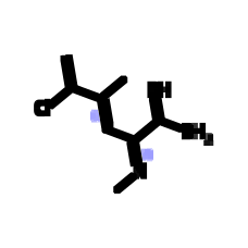 B=C(B)C(/C=C(\C)C(=C)Cl)=N/C